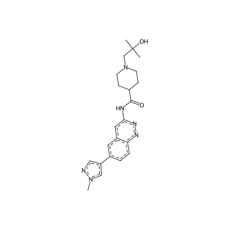 Cn1cc(-c2ccc3nnc(NC(=O)C4CCN(CC(C)(C)O)CC4)cc3c2)cn1